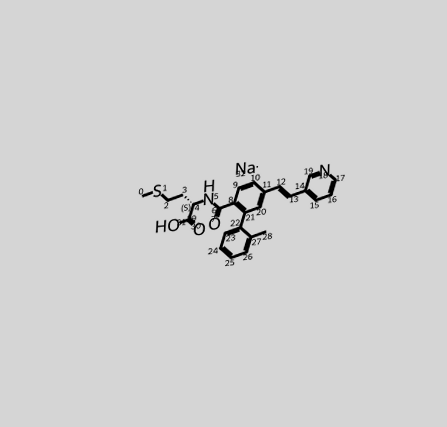 CSCC[C@H](NC(=O)c1ccc(C=Cc2cccnc2)cc1-c1ccccc1C)C(=O)O.[Na]